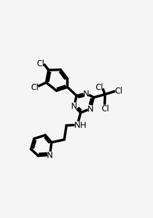 Clc1ccc(-c2nc(NCCc3ccccn3)nc(C(Cl)(Cl)Cl)n2)cc1Cl